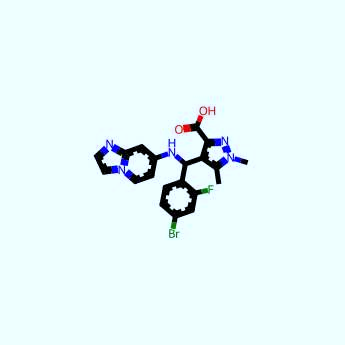 Cc1c(C(Nc2ccn3ccnc3c2)c2ccc(Br)cc2F)c(C(=O)O)nn1C